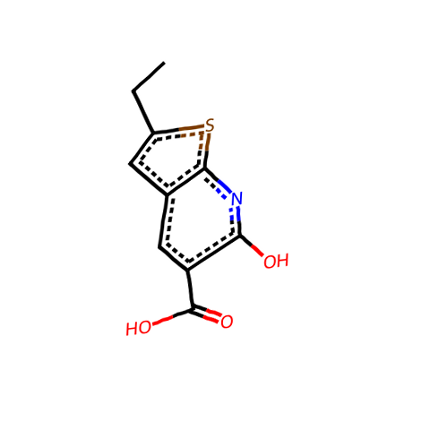 CCc1cc2cc(C(=O)O)c(O)nc2s1